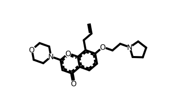 C=CCc1c(OCCN2CCCC2)ccc2c(=O)cc(N3CCOCC3)oc12